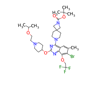 Cc1cc2c(N3CCC4(CC3)CN(C(=O)OC(C)(C)C)C4)nc(OC3CCN(CCOC(C)C)CC3)nc2c(OCC(F)(F)F)c1Br